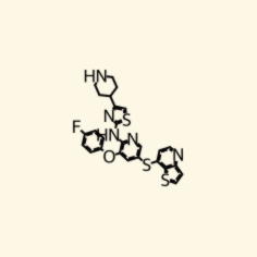 Fc1ccc(Oc2cc(Sc3ccnc4ccsc34)cnc2Nc2nc(C3CCNCC3)cs2)cc1